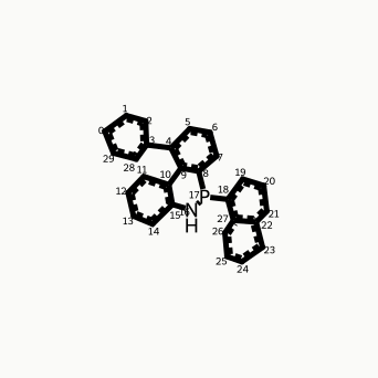 c1ccc(-c2cccc3c2-c2ccccc2NP3c2cccc3ccccc23)cc1